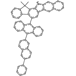 CC1(C)c2ccccc2-c2c(-c3c4ccccc4c(-c4ccc5cc(-c6ccccc6)ccc5c4)c4ccccc34)cc3c(sc4cc5ccccc5cc43)c21